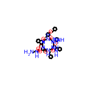 NCCNC(=O)O[C@@H]1C[C@H]2C(=O)N[C@@H](CCc3ccccc3)C(=O)N[C@H](Cc3c[nH]c4ccccc34)C(=O)N[C@@H](CN3CCNCC3)C(=O)N[C@@H](Cc3ccc(OCc4ccccc4)cc3)C(=O)N3Cc4ccccc4C[C@H]3C(=O)N2C1